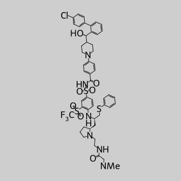 CNCC(=O)NCCN1CCC[C@H]1C[C@H](CSc1ccccc1)Nc1ccc(S(=O)(=O)NC(=O)c2ccc(N3CCC([C@@H](O)c4ccccc4-c4ccc(Cl)cc4)CC3)cc2)cc1S(=O)(=O)C(F)(F)F